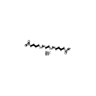 O=[Se]([O-])CCCC[Se][Se]CC[Se][Se]CCCC[Se](=O)[O-].[Na+].[Na+]